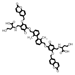 Cc1c(COc2cc(OCc3ccc4oc(=O)ccc4c3)c(CNC(CCO)C(=O)O)cc2Cl)cccc1-c1cccc(COc2cc(OCc3ccc4oc(=O)ccc4c3)c(CNC(CCO)C(=O)O)cc2Cl)c1C